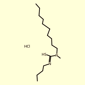 CCCCCCCCCCN(C)C(S)=NCCCC.Cl